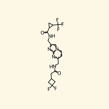 O=C(CC1CC(F)(F)C1)NCc1ccn2cc(CNC(=O)C3CC3C(F)(F)F)nc2n1